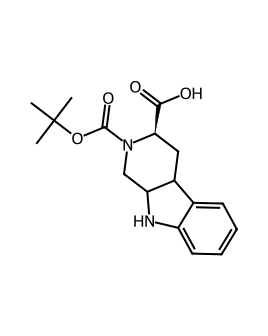 CC(C)(C)OC(=O)N1CC2Nc3ccccc3C2C[C@@H]1C(=O)O